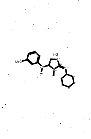 COc1cccc(N(C(C)=O)C2CSC(=NC3CCCCC3)N2C)c1.Cl